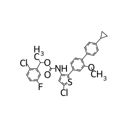 COc1cc(-c2sc(Cl)cc2NC(=O)OC(C)c2cc(F)ccc2Cl)ccc1-c1ccc(C2CC2)cc1